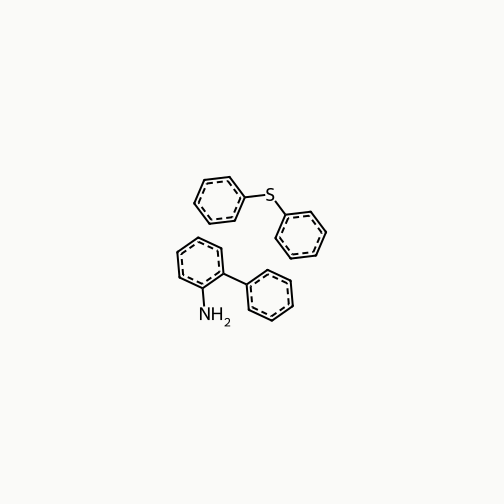 Nc1ccccc1-c1ccccc1.c1ccc(Sc2ccccc2)cc1